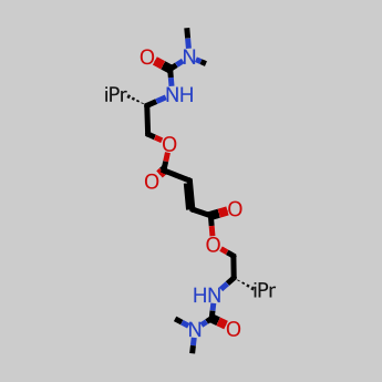 CC(C)[C@@H](COC(=O)/C=C/C(=O)OC[C@@H](NC(=O)N(C)C)C(C)C)NC(=O)N(C)C